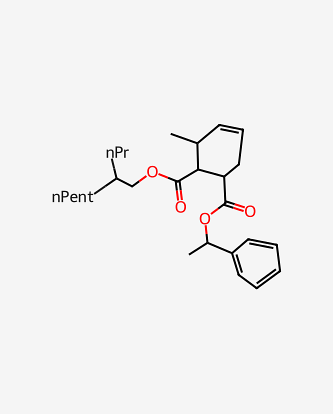 CCCCCC(CCC)COC(=O)C1C(C)C=CCC1C(=O)OC(C)c1ccccc1